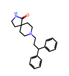 O=C1NCCC12CCN(CCC(c1ccccc1)c1ccccc1)CC2